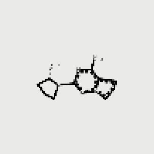 C[C@H]1CCCN1c1nc(N)c2cccn2n1